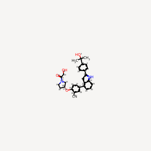 CC(C)(O)c1ccc(-c2cc3c(-c4ccc(O[C@@H]5CCN(C(=O)CO)C5)c(C#N)c4)cccc3[nH]2)cc1